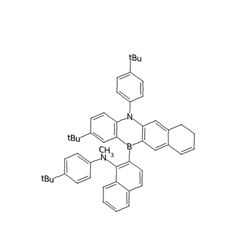 CN(c1ccc(C(C)(C)C)cc1)c1c(B2c3cc(C(C)(C)C)ccc3N(c3ccc(C(C)(C)C)cc3)c3cc4c(cc32)C=CCC4)ccc2ccccc12